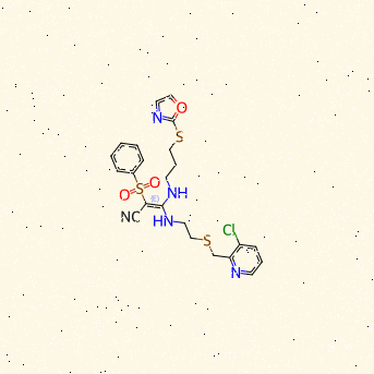 N#C/C(=C(/NCCCSc1ncco1)NCCSCc1ncccc1Cl)S(=O)(=O)c1ccccc1